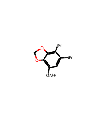 COc1cc(C(C)C)c(C(C)C)c2c1OCO2